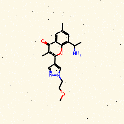 COCCn1cc(-c2oc3c(C(C)N)cc(C)cc3c(=O)c2C)cn1